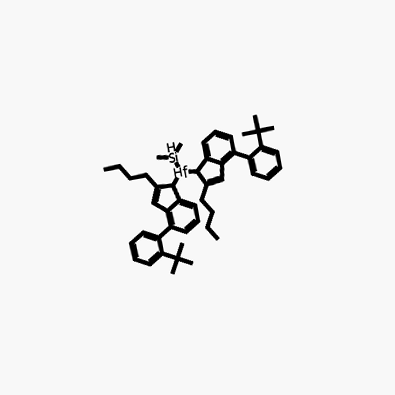 CCCCC1=Cc2c(-c3ccccc3C(C)(C)C)cccc2[CH]1[Hf]([CH]1C(CCCC)=Cc2c(-c3ccccc3C(C)(C)C)cccc21)[SiH](C)C